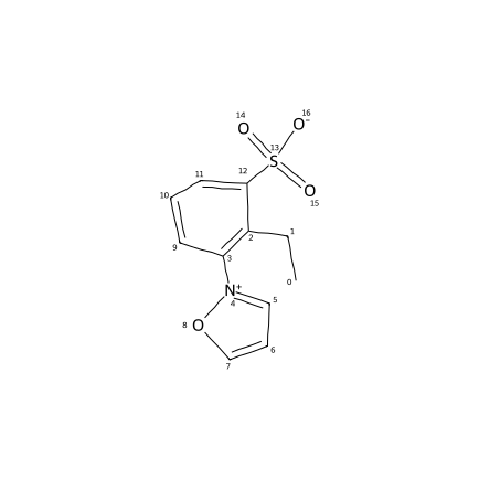 CCc1c(-[n+]2ccco2)cccc1S(=O)(=O)[O-]